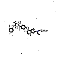 C=C/C(=C\NC)c1cc2nccc(Oc3ccc(NC(=O)C4(C(=O)Nc5ccc(C)cc5)CC4)cc3F)c2cn1